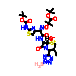 Bn1nnc(C2=C(CC)C[S+]([O-])[C@@H]3[C@H](NC(=O)/C(=N\OC(C)(C)C(=O)OC(C)(C)C)c4csc(NC(=O)OC(C)(C)C)n4)C(=O)N23)n1